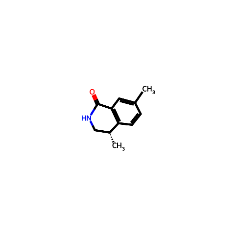 Cc1ccc2c(c1)C(=O)NC[C@H]2C